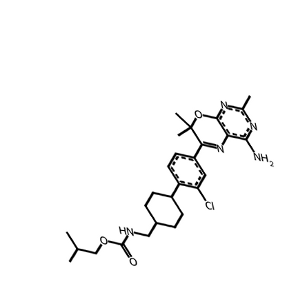 Cc1nc(N)c2c(n1)OC(C)(C)C(c1ccc(C3CCC(CNC(=O)OCC(C)C)CC3)c(Cl)c1)=N2